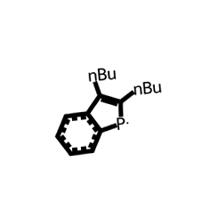 CCCCC1=C(CCCC)c2ccccc2[P]1